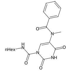 CCCCCCNC(=O)n1cc(N(C)C(=O)c2ccccc2)c(=O)[nH]c1=O